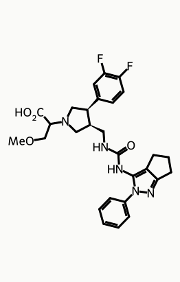 COCC(C(=O)O)N1C[C@H](CNC(=O)Nc2c3c(nn2-c2ccccc2)CCC3)[C@H](c2ccc(F)c(F)c2)C1